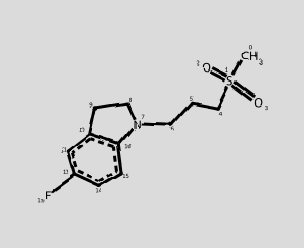 CS(=O)(=O)C[CH]CN1CCc2cc(F)ccc21